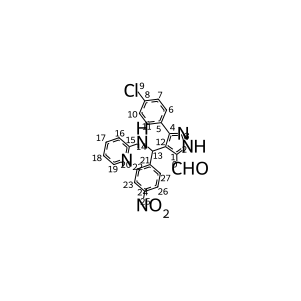 O=Cc1[nH]nc(-c2ccc(Cl)cc2)c1C(Nc1ccccn1)c1ccc([N+](=O)[O-])cc1